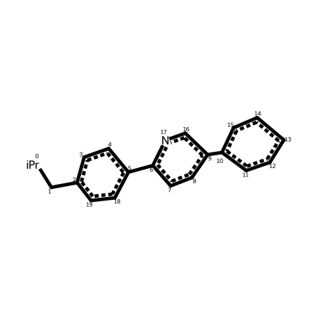 CC(C)Cc1ccc(-c2ccc(-c3ccccc3)cn2)cc1